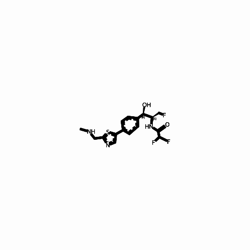 CNCc1ncc(-c2ccc([C@@H](O)[C@@H](CF)NC(=O)C(F)F)cc2)s1